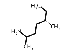 CC[C@H](C)CCC(C)N